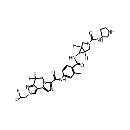 Cc1cc(NC(=O)c2ncc(-c3cn(CC(F)F)nc3C(F)(F)F)n2C)ccc1C(=O)N[C@H]1[C@@H]2CN(C(=O)N[C@H]3CCNC3)C[C@@H]21